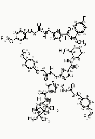 CC(NC(=O)c1csc(CNC(=O)COc2ccc(OC(F)(F)F)cc2)n1)c1ccc(F)cc1.CC1CCCCC1NC(=O)c1csc(CNC(=O)COc2ccc(OC(F)(F)F)cc2)n1.C[C@@H]1[C@H]2C[C@@H](C[C@H]1NC(=O)c1csc(CNC(=O)COc3ccc(OC(F)(F)F)cc3)n1)C2(C)C